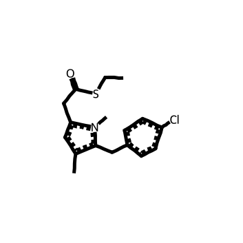 CCSC(=O)Cc1cc(C)c(Cc2ccc(Cl)cc2)n1C